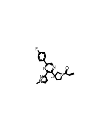 C=CC(=O)N1CC[C@@](C)(c2ncc(-c3ccc(F)cc3)nc2-c2ccn(C)n2)C1